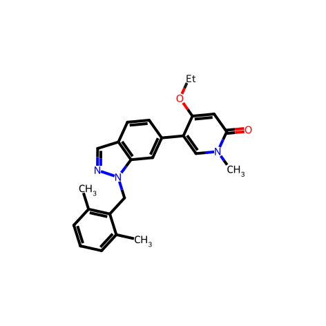 CCOc1cc(=O)n(C)cc1-c1ccc2cnn(Cc3c(C)cccc3C)c2c1